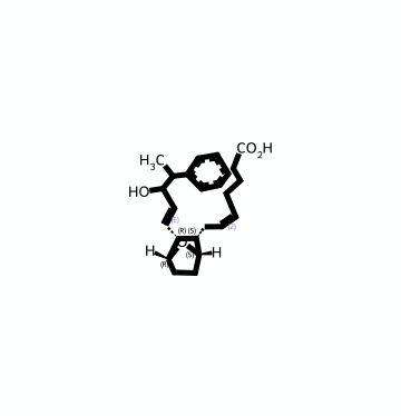 CC(c1ccccc1)C(O)/C=C/[C@@H]1[C@H](C/C=C\CCCC(=O)O)[C@@H]2CC[C@H]1O2